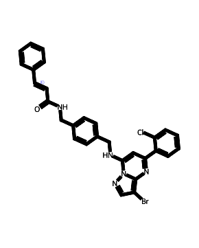 O=C(/C=C/c1ccccc1)NCc1ccc(CNc2cc(-c3ccccc3Cl)nc3c(Br)cnn23)cc1